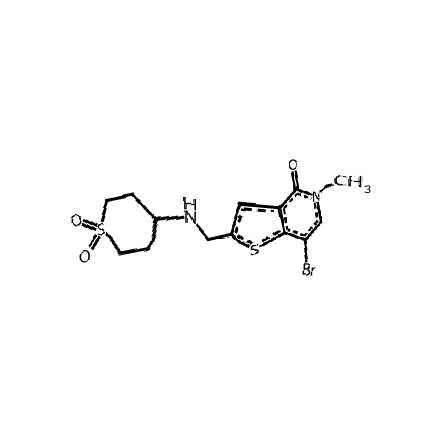 Cn1cc(Br)c2sc(CNC3CCS(=O)(=O)CC3)cc2c1=O